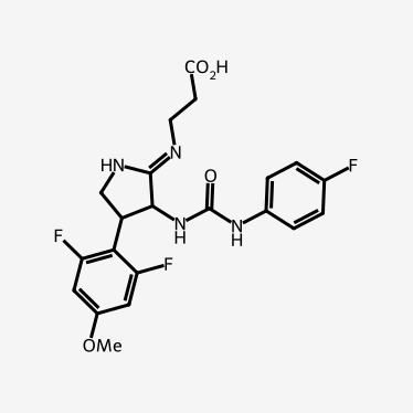 COc1cc(F)c(C2CN/C(=N\CCC(=O)O)C2NC(=O)Nc2ccc(F)cc2)c(F)c1